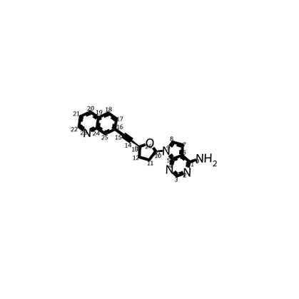 Nc1ncnc2c1ccn2[C@H]1CC[C@@H](C#Cc2ccc3cccnc3c2)O1